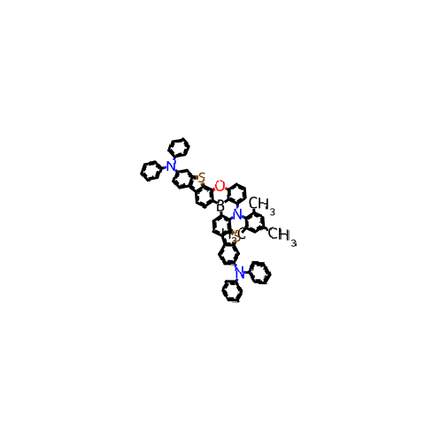 Cc1cc(C)c(N2c3cccc4c3B(c3ccc5c(sc6cc(N(c7ccccc7)c7ccccc7)ccc65)c3O4)c3ccc4c(sc5cc(N(c6ccccc6)c6ccccc6)ccc54)c32)c(C)c1